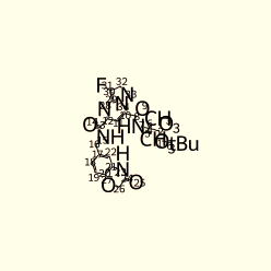 CC(C)(C)OC(=O)C(C)(C)NC(=O)c1cc(C(=O)NCc2ccc3c(c2)NC(=O)CO3)nc2c(F)cnn12